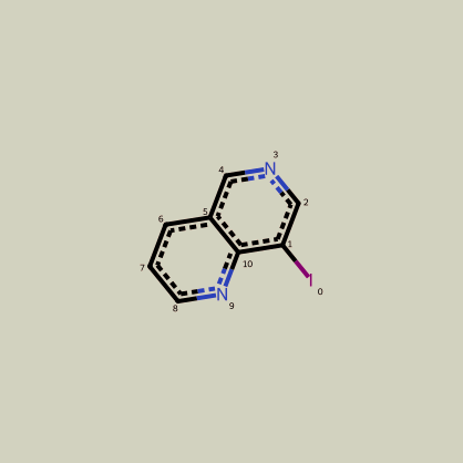 Ic1cncc2cccnc12